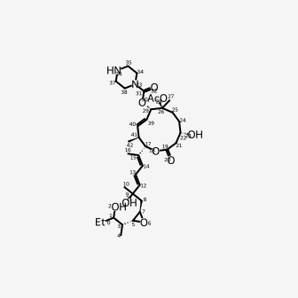 CCC(O)C(C)[C@H]1O[C@@H]1CC(C)(O)/C=C/C=C(\C)[C@H]1OC(=O)C[C@@H](O)CC[C@](C)(OC(C)=O)[C@@H](OC(=O)N2CCNCC2)/C=C/[C@@H]1C